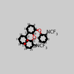 FC(F)(F)Nc1ccccc1Oc1cccc(-c2ccccc2)c1Oc1ccccc1NC(F)(F)F